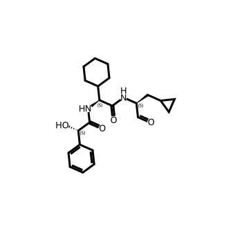 O=C[C@H](CC1CC1)NC(=O)[C@@H](NC(=O)[C@@H](O)c1ccccc1)C1CCCCC1